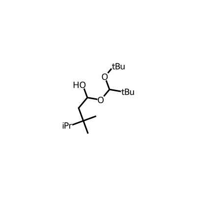 CC(C)C(C)(C)CC(O)OC(OC(C)(C)C)C(C)(C)C